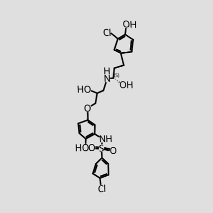 O=S(=O)(Nc1cc(OCC(O)CN[C@@H](O)CCc2ccc(O)c(Cl)c2)ccc1O)c1ccc(Cl)cc1